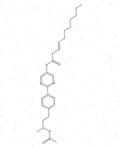 CCCCCCCC=CCC(=O)Oc1cnc(-c2ccc(CCC(C)OC(C)=O)cc2)nc1